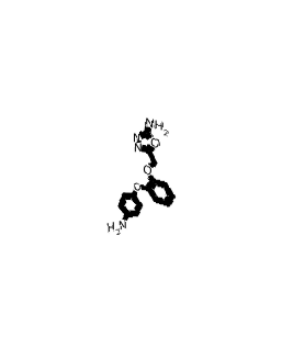 Nc1ccc(Oc2ccccc2OCc2nnc(N)o2)cc1